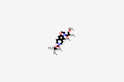 COCC(C)C(=O)N1CCOc2cc3c(c(C)c21)CCN(C(=O)OC(C)(C)C)CC3